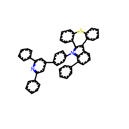 c1ccc(-c2cc(-c3ccc(-n4c5c(c6cccc(-c7ccccc7)c64)-c4ccccc4Sc4ccccc4-5)cc3)cc(-c3ccccc3)n2)cc1